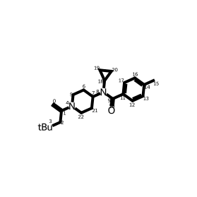 C=C(CC(C)(C)C)N1CCC(N(C(=O)c2ccc(C)cc2)C2CC2)CC1